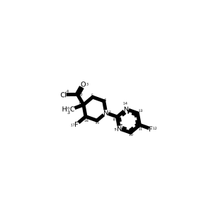 CC1(C(=O)Cl)CCN(c2ncc(F)cn2)CC1F